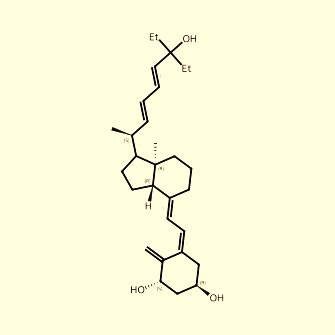 C=C1/C(=C\C=C2/CCC[C@]3(C)C([C@@H](C)/C=C/C=C/C(O)(CC)CC)CC[C@@H]23)C[C@@H](O)C[C@@H]1O